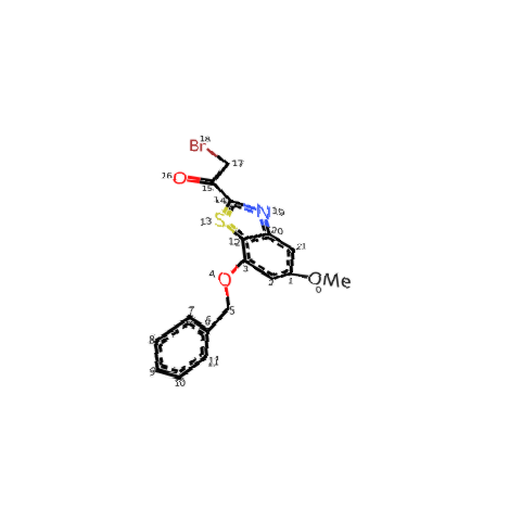 COc1cc(OCc2ccccc2)c2sc(C(=O)CBr)nc2c1